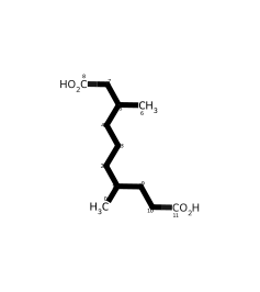 CC(CCCC(C)CC(=O)O)CCC(=O)O